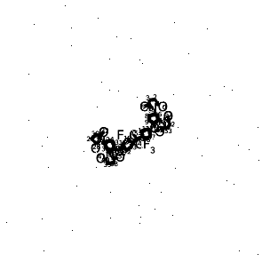 O=C1C=CC(=O)N1c1ccc(Oc2ccc(C(c3ccc(Oc4ccc(N5C(=O)C=CC5=O)cc4N4C(=O)C=CC4=O)cc3)(C(F)(F)F)C(F)(F)F)cc2)c(N2C(=O)C=CC2=O)c1